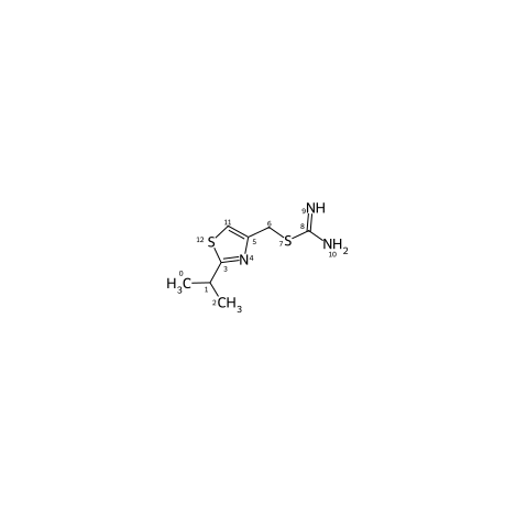 CC(C)c1nc(CSC(=N)N)cs1